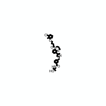 Cc1c(Cl)cccc1OCCCC(=O)N1CCCSc2c(-c3cnn(Cc4cccc(C(=O)NCC(C)(C)O)c4)c3)cccc21